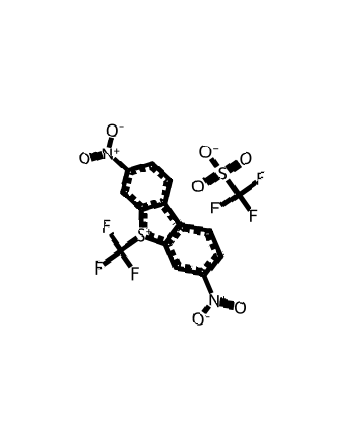 O=S(=O)([O-])C(F)(F)F.O=[N+]([O-])c1ccc2c3ccc([N+](=O)[O-])cc3[s+](C(F)(F)F)c2c1